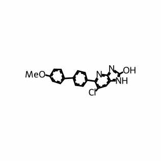 COc1ccc(-c2ccc(-c3nc4nc(O)[nH]c4cc3Cl)cc2)cc1